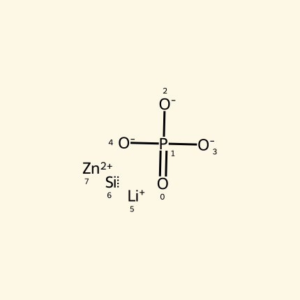 O=P([O-])([O-])[O-].[Li+].[Si].[Zn+2]